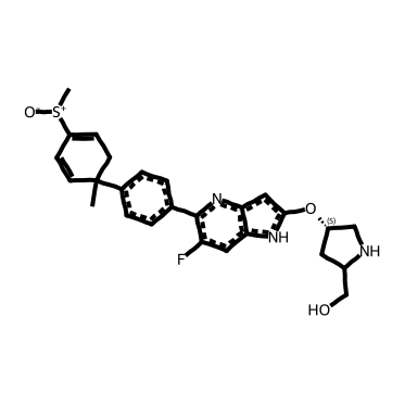 C[S+]([O-])C1=CCC(C)(c2ccc(-c3nc4cc(O[C@@H]5CNC(CO)C5)[nH]c4cc3F)cc2)C=C1